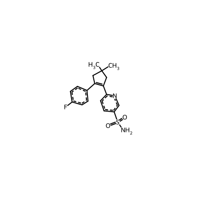 CC1(C)CC(c2ccc(F)cc2)=C(c2ccc(S(N)(=O)=O)cn2)C1